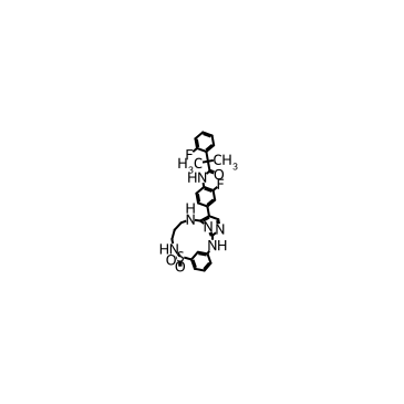 CC(C)(C(=O)Nc1ccc(-c2cnc3nc2NCCCNS(=O)(=O)c2cccc(c2)N3)cc1F)c1ccccc1F